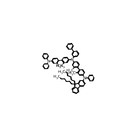 CCCCCCC1(CCCCCC)c2ccccc2-c2ccc(N(c3ccccc3)c3ccc(-c4ccc(N(c5cccc(-c6ccccc6)c5)c5ccc(-c6ccc(N(c7ccccc7)c7ccccc7)cc6C)c(C)c5)cc4C)c(C)c3)cc21